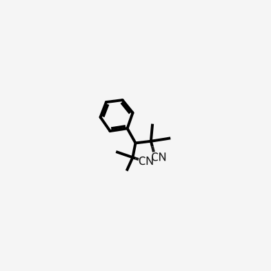 CC(C)(C#N)C(c1ccccc1)C(C)(C)C#N